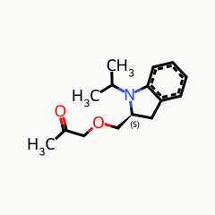 CC(=O)COC[C@@H]1Cc2ccccc2N1C(C)C